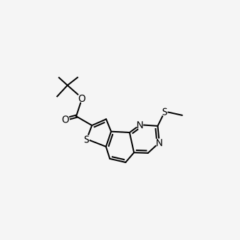 CSc1ncc2ccc3sc(C(=O)OC(C)(C)C)cc3c2n1